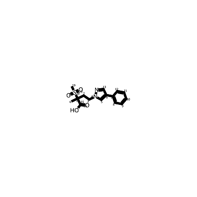 CC(CCn1cc(-c2ccccc2)cn1)(C(=O)O)S(C)(=O)=O